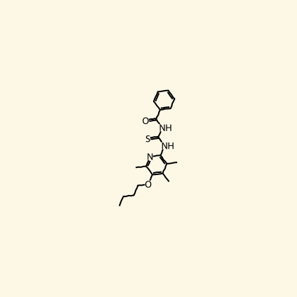 CCCCOc1c(C)nc(NC(=S)NC(=O)c2ccccc2)c(C)c1C